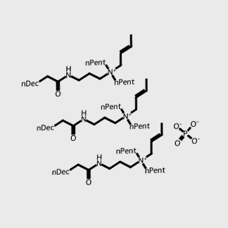 CC=CC[N+](CCCCC)(CCCCC)CCCNC(=O)CCCCCCCCCCC.CC=CC[N+](CCCCC)(CCCCC)CCCNC(=O)CCCCCCCCCCC.CC=CC[N+](CCCCC)(CCCCC)CCCNC(=O)CCCCCCCCCCC.O=P([O-])([O-])[O-]